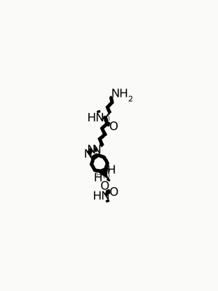 CNC(=O)OC[C@@H]1[C@@H]2CCc3c(nnn3CCCCC(=O)[C@H](CCCCN)NC)CC[C@@H]21